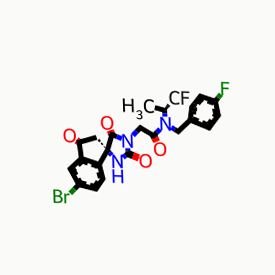 C[C@H](N(Cc1ccc(F)cc1)C(=O)CN1C(=O)N[C@]2(CC(=O)c3cc(Br)ccc32)C1=O)C(F)(F)F